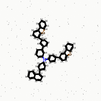 c1cc(-c2cccc(N(c3ccc(-c4ccc5sc6ccccc6c5c4)cc3)c3ccc(-c4cccc5ccccc45)cc3)c2)cc(-c2cccc3c2sc2ccccc23)c1